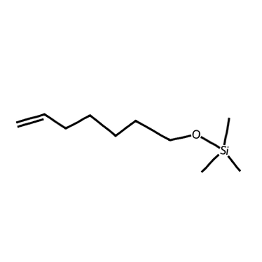 C=CCCCCCO[Si](C)(C)C